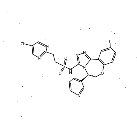 O=S(=O)(CCc1ncc(Cl)cn1)Nc1nnc2n1[C@H](c1cccnc1)COc1ccc(F)cc1-2